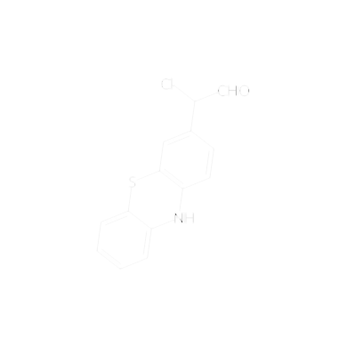 O=CC(Cl)c1ccc2c(c1)Sc1ccccc1N2